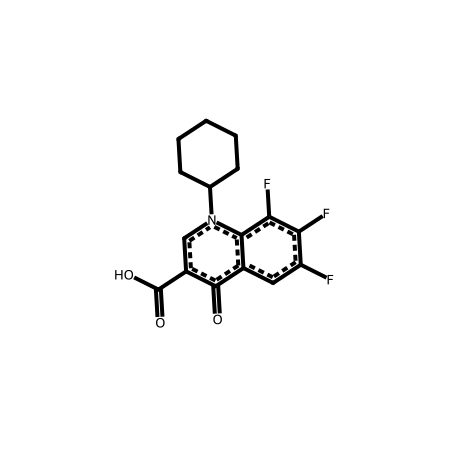 O=C(O)c1cn(C2CCCCC2)c2c(F)c(F)c(F)cc2c1=O